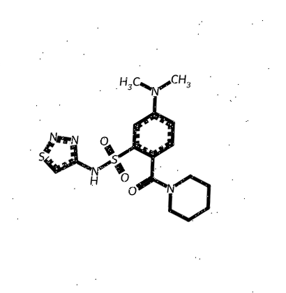 CN(C)c1ccc(C(=O)N2CCCCC2)c(S(=O)(=O)Nc2csnn2)c1